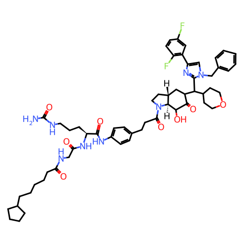 NC(=O)NCCC[C@H](NC(=O)CNC(=O)CCCCCC1CCCC1)C(=O)Nc1ccc(CCC(=O)N2CC[C@@H]3CC(C(c4nc(-c5cc(F)ccc5F)cn4Cc4ccccc4)C4CCOCC4)C(=O)C(O)[C@H]32)cc1